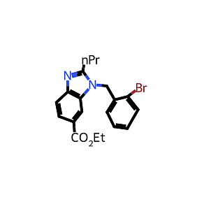 CCCc1nc2ccc(C(=O)OCC)cc2n1Cc1ccccc1Br